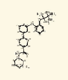 BC(B)(B)C(B)(B)Oc1cccnc1Oc1cncc(-c2ncc(C(=O)N[C@@H]3CNC[C@@H](F)C3)cn2)c1